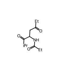 CCC(=O)CC(NC(=O)CC)C(=O)C(C)C